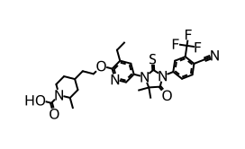 CCc1cc(N2C(=S)N(c3ccc(C#N)c(C(F)(F)F)c3)C(=O)C2(C)C)cnc1OCCC1CCN(C(=O)O)C(C)C1